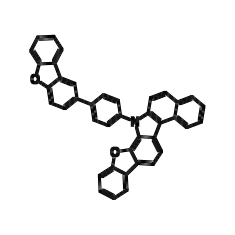 c1ccc2c(c1)ccc1c2c2ccc3c4ccccc4oc3c2n1-c1ccc(-c2ccc3oc4ccccc4c3c2)cc1